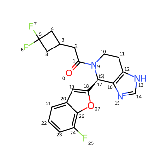 O=C(CC1CC(F)(F)C1)N1CCc2[nH]cnc2[C@H]1c1cc2cccc(F)c2o1